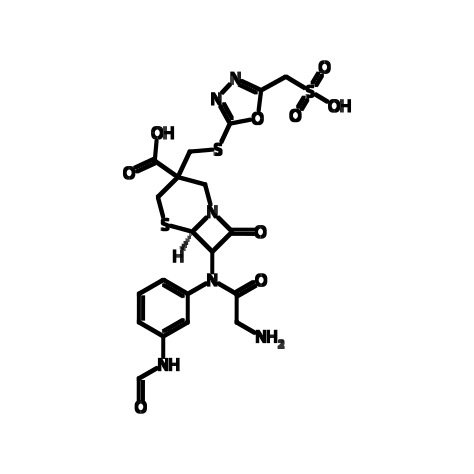 NCC(=O)N(c1cccc(NC=O)c1)C1C(=O)N2CC(CSc3nnc(CS(=O)(=O)O)o3)(C(=O)O)CS[C@H]12